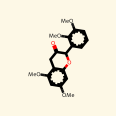 COc1cc(OC)c2c(c1)OC(c1cccc(OC)c1OC)C(=O)C2